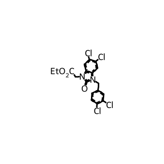 CCOC(=O)Cn1c(=O)n(Cc2ccc(Cl)c(Cl)c2)c2cc(Cl)c(Cl)cc21